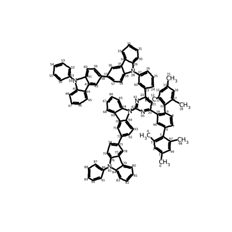 Cc1cc(C)c(-c2ccc(-c3c(C)cc(C)cc3C)c(-c3cc(-c4cccc(-n5c6ccccc6c6cc(-c7ccc8c(c7)c7ccccc7n8-c7ccccc7)ccc65)c4)nc(-n4c5ccccc5c5cc(-c6ccc7c(c6)c6ccccc6n7-c6ccccc6)ccc54)n3)c2)c(C)c1